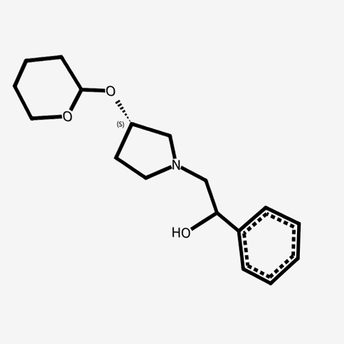 OC(CN1CC[C@H](OC2CCCCO2)C1)c1ccccc1